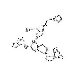 Cc1cccc(N2CCc3c(nc(OCC4CCCN4C)nc3N3CCN(C(=O)OCc4ccccc4)C(CC#N)C3)C2)c1C